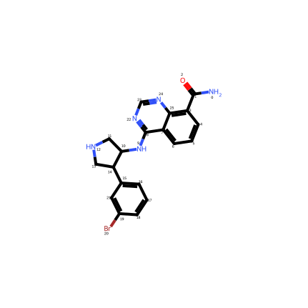 NC(=O)c1cccc2c(NC3CNCC3c3cccc(Br)c3)ncnc12